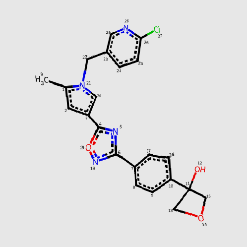 Cc1cc(-c2nc(-c3ccc(C4(O)COC4)cc3)no2)cn1Cc1ccc(Cl)nc1